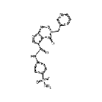 NS(=O)(=O)c1ccc(NC(=O)c2coc3ncn(Cc4cccnc4)c(=O)c23)cc1